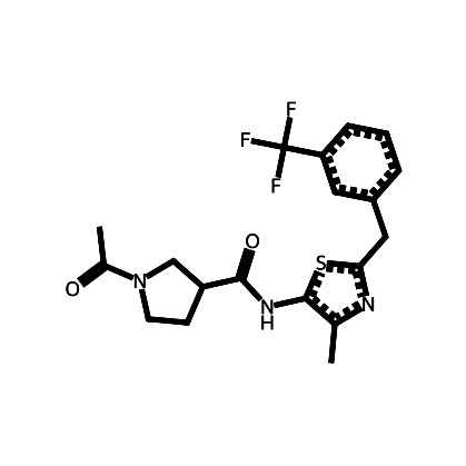 CC(=O)N1CCC(C(=O)Nc2sc(Cc3cccc(C(F)(F)F)c3)nc2C)C1